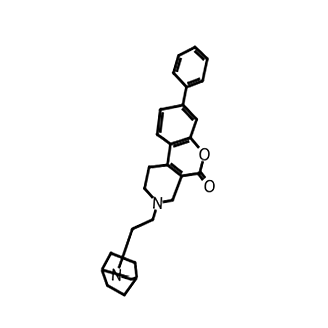 O=c1oc2cc(-c3ccccc3)ccc2c2c1CN(CCN1CC3CCC(CC3)C1)CC2